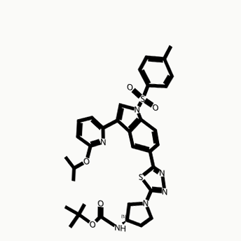 Cc1ccc(S(=O)(=O)n2cc(-c3cccc(OC(C)C)n3)c3cc(-c4nnc(N5CC[C@H](NC(=O)OC(C)(C)C)C5)s4)ccc32)cc1